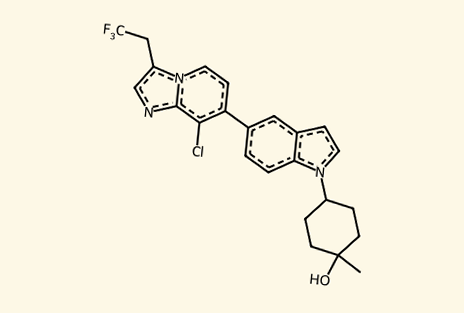 CC1(O)CCC(n2ccc3cc(-c4ccn5c(CC(F)(F)F)cnc5c4Cl)ccc32)CC1